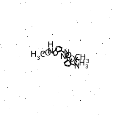 CCONC1CCc2c(-c3noc(-c4cccc(C#N)c4OC(C)C)n3)cccc21